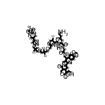 CC[C@@]1(O)C(=O)OCc2c1cc1n(c2=O)Cc2c-1nc1cc3c(cc1c2CNC(=O)CNC(=O)[C@H](CCCCN)NC(=O)[C@@H](NC(=O)COCC(C)(C)COCC(C)(C)Cn1cc(-c2cnc(S(C)(=O)=O)nc2)nn1)C(C)C)OCO3